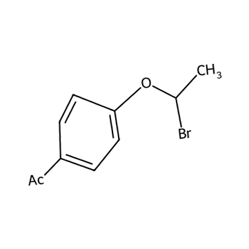 CC(=O)c1ccc(OC(C)Br)cc1